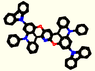 c1ccc(N2c3ccccc3B3c4cc5c(nc4Oc4cc(-n6c7ccccc7c7ccccc76)cc2c43)B2c3ccccc3N(c3ccccc3)c3cc(-n4c6ccccc6c6ccccc64)cc(c32)O5)cc1